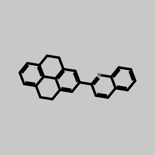 c1cc2c3c(c1)CCc1cc(-c4ccc5ccccc5n4)cc(c1-3)CC2